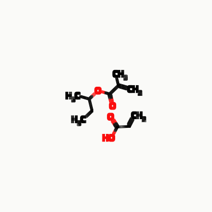 C=C(C)C(=O)OC(C)CC.C=CC(=O)O